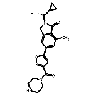 Cc1cc(-c2cc(C(=O)N3CCNCC3)no2)cc2c1C(=O)N([C@@H](C)C1CC1)C2